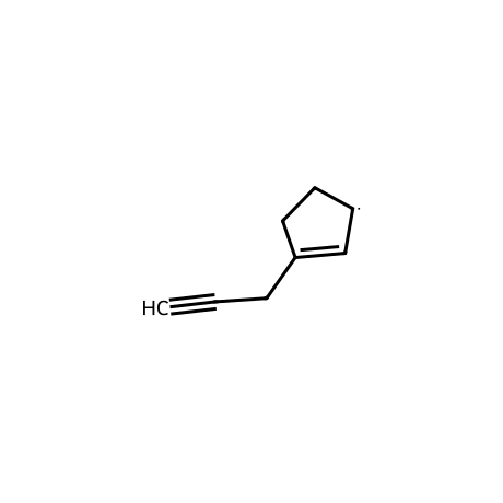 C#CCC1=C[CH]CC1